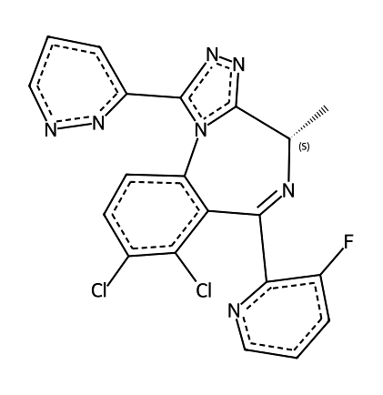 C[C@@H]1N=C(c2ncccc2F)c2c(ccc(Cl)c2Cl)-n2c(-c3cccnn3)nnc21